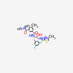 CCCN(CCC)C(=O)c1cc(C)cc(C(=O)N[C@@H](Cc2cc(F)cc(F)c2)[C@H](O)CNCc2nc(C)cs2)c1